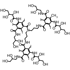 Cc1c(NC(=O)C(O)C(O)CO)c(I)c(C(=O)NCCCN(CCCNC(=O)c2c(I)c(NC(=O)C(O)C(O)CO)c(I)c(C(=O)NCC(O)CO)c2I)C(=O)c2c(I)c(NC(=O)C(O)C(O)CO)c(I)c(C(=O)NCC(O)CO)c2I)c(I)c1C(=O)NCC(O)CO